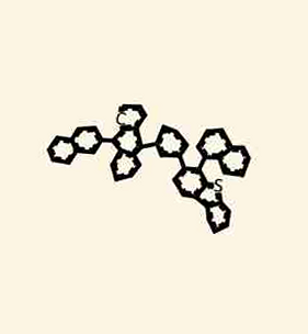 c1cc(-c2ccc3c(sc4ccccc43)c2-c2cccc3ccccc23)cc(-c2c3ccccc3c(-c3ccc4ccccc4c3)c3ccccc23)c1